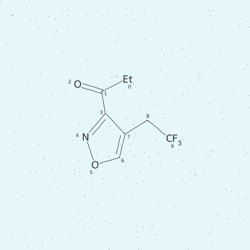 CCC(=O)c1nocc1CC(F)(F)F